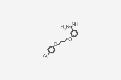 CC(=O)c1ccc(OCCCCOc2cccc(C(=N)N)c2)cc1